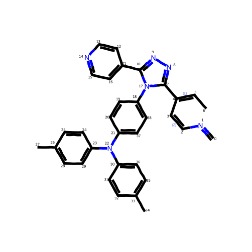 C=N/C=C\C(=C/C)c1nnc(-c2ccncc2)n1-c1ccc(N(c2ccc(C)cc2)c2ccc(C)cc2)cc1